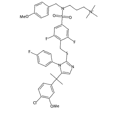 COc1ccc(CN(CCC[N+](C)(C)C)S(=O)(=O)c2cc(F)c(CSc3ncc(C(C)(C)c4ccc(Cl)c(OC)c4)n3-c3ccc(F)cc3)c(F)c2)cc1